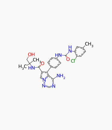 Cc1ccc(Cl)c(NC(=O)Nc2ccc(-c3c(C(=O)NC(C)(C)CO)cn4ncnc(N)c34)cc2)c1